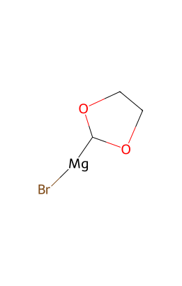 [Br][Mg][CH]1OCCO1